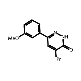 COc1cccc(-c2cc(C(C)C)c(=O)[nH]n2)c1